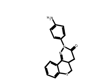 Nc1ccc(N2N=C3c4ccccc4SCC3CC2=O)cc1